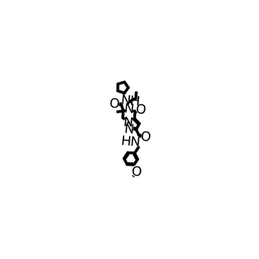 CCCN1C(=O)c2cc(C(=O)NCc3cccc(OC)c3)nn2CC1(C)C(=O)NC1CCCC1